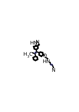 CC/C(=C(/c1ccc(OCCNC/C=C/C#N)cc1)c1ccc2[nH]ncc2c1)c1ccccc1